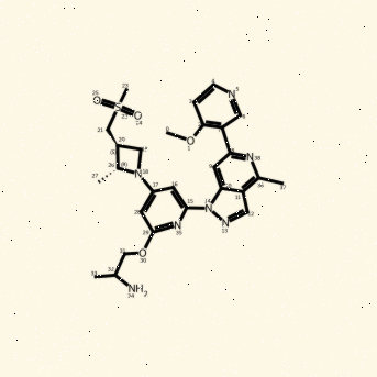 COc1ccncc1-c1cc2c(cnn2-c2cc(N3C[C@H](CS(C)(=O)=O)[C@H]3C)cc(OCC(C)N)n2)c(C)n1